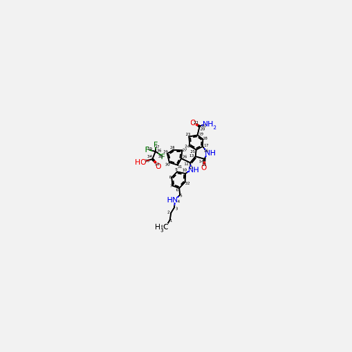 CCCCNCc1cccc(N/C(=C2\C(=O)Nc3cc(C(N)=O)ccc32)c2ccccc2)c1.O=C(O)C(F)(F)F